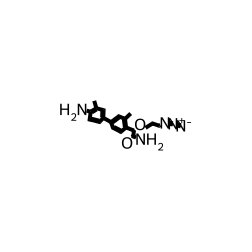 Cc1cc(-c2ccc(C(OCCCN=[N+]=[N-])C(N)=O)c(C)c2)ccc1N